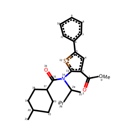 COC(=O)c1cc(-c2ccccc2)sc1N(C(=O)C1CCC(C)CC1)C(C)C(C)C